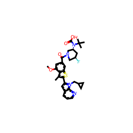 COc1cc(C(=O)N2C[C@H](F)C[C@@H](N(C(=O)O)C(C)(C)C)C2)cc2sc(-c3cc4cccnc4n3CC3CC3)c(C)c12